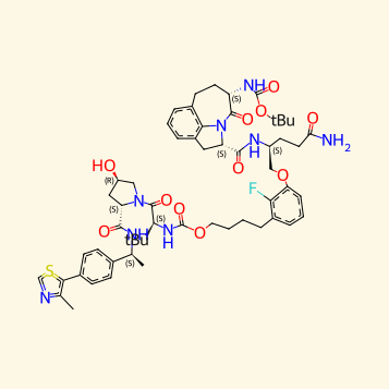 Cc1ncsc1-c1ccc([C@H](C)NC(=O)[C@@H]2C[C@@H](O)CN2C(=O)[C@@H](NC(=O)OCCCCc2cccc(OC[C@H](CCC(N)=O)NC(=O)[C@@H]3Cc4cccc5c4N3C(=O)[C@@H](NC(=O)OC(C)(C)C)CC5)c2F)C(C)(C)C)cc1